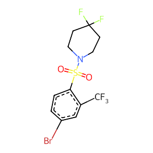 O=S(=O)(c1ccc(Br)cc1C(F)(F)F)N1CCC(F)(F)CC1